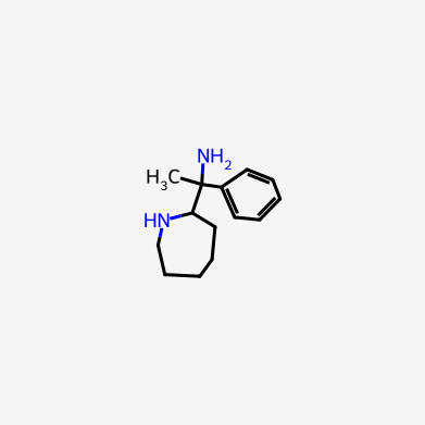 CC(N)(c1ccccc1)C1CCCCCN1